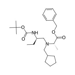 CC[C@H](CN(CC1CCCC1)[C@@H](C)C(=O)OCc1ccccc1)NC(=O)OC(C)(C)C